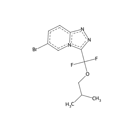 CC(C)COC(F)(F)c1nnc2ccc(Br)cn12